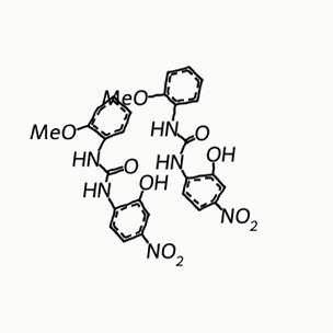 COc1ccccc1NC(=O)Nc1ccc([N+](=O)[O-])cc1O.COc1ccccc1NC(=O)Nc1ccc([N+](=O)[O-])cc1O